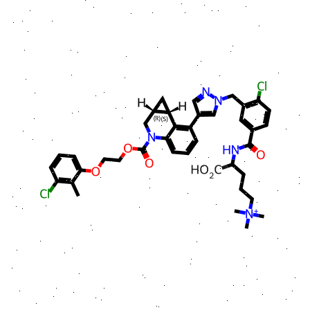 Cc1c(Cl)cccc1OCCOC(=O)N1C[C@@H]2C[C@@H]2c2c(-c3cnn(Cc4cc(C(=O)NC(CCC[N+](C)(C)C)C(=O)O)ccc4Cl)c3)cccc21